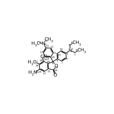 CCN(CC)c1ccc(C2(c3ccc(N(C)C)cc3)OC(=O)c3cc(N)c(C)c(C)c32)cc1